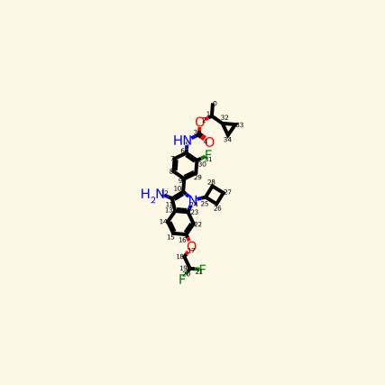 CC(OC(=O)Nc1ccc(-c2c(N)c3ccc(OCC(F)F)cc3n2C2CCC2)cc1F)C1CC1